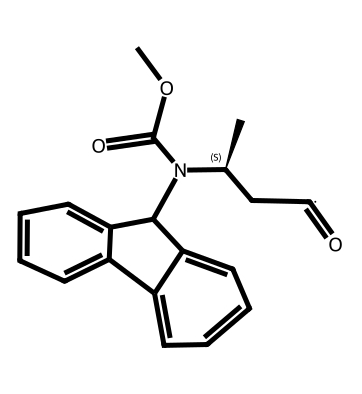 COC(=O)N(C1c2ccccc2-c2ccccc21)[C@@H](C)C[C]=O